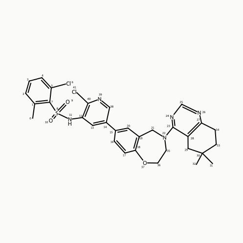 Cc1cccc(Cl)c1S(=O)(=O)Nc1cc(-c2ccc3c(c2)CN(c2ncnc4c2CC(C)(C)CC4)CCO3)cnc1Cl